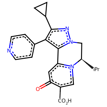 CC(C)[C@@H]1Cn2nc(C3CC3)c(-c3ccncc3)c2-c2cc(=O)c(C(=O)O)cn21